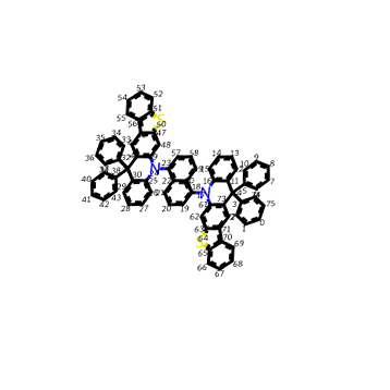 c1ccc(C2(c3ccccc3)c3ccccc3N(c3cccc4c(N5c6ccccc6C(c6ccccc6)(c6ccccc6)c6cc7c(cc65)sc5ccccc57)cccc34)c3cc4sc5ccccc5c4cc32)cc1